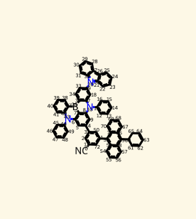 N#Cc1cc(-c2cc3c4c(c2)N(c2ccccc2)c2cc(-n5c6ccccc6c6ccccc65)ccc2B4c2ccccc2N3c2ccccc2)cc(-c2c3ccccc3c(C3C=CC=CC3)c3ccccc23)c1